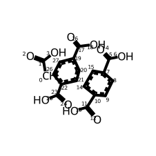 CC(=O)O.O=C(O)c1ccc(C(=O)O)cc1.O=C(O)c1ccc(C(=O)O)cc1